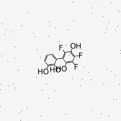 Oc1cccc(-c2c(O)c(F)c(F)c(O)c2F)c1O